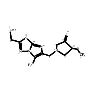 COCc1nn2c(C(F)(F)F)c(CN3CC(=O)C(CC(F)(F)F)C3)nc2s1